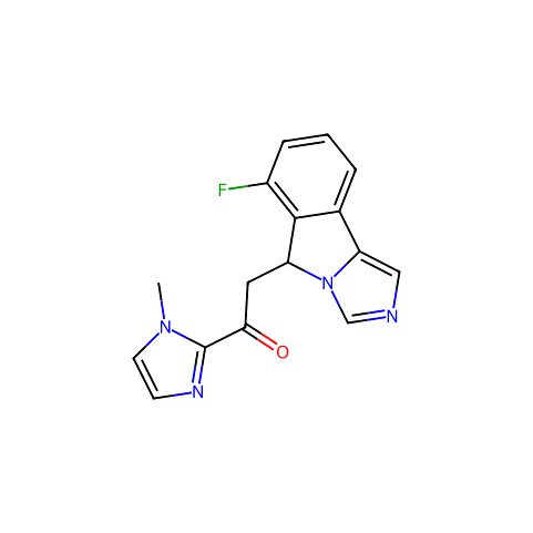 Cn1ccnc1C(=O)CC1c2c(F)cccc2-c2cncn21